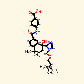 CC1(C)CCC(O)(c2nccn2COCC[Si](C)(C)C)c2cc(C(=O)Nc3ccc(C(=O)O)cc3)ccc21